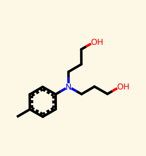 Cc1ccc(N(CCCO)CCCO)cc1